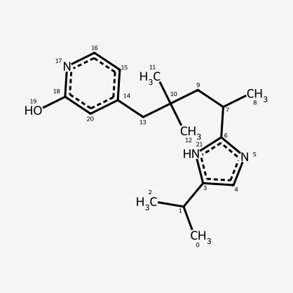 CC(C)c1cnc(C(C)CC(C)(C)Cc2ccnc(O)c2)[nH]1